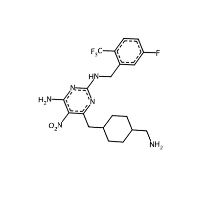 NCC1CCC(Cc2nc(NCc3cc(F)ccc3C(F)(F)F)nc(N)c2[N+](=O)[O-])CC1